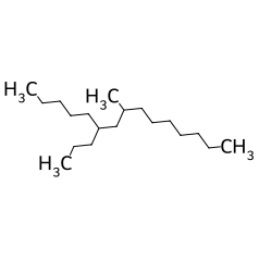 CCCCCCCC(C)CC(CCC)CCCCC